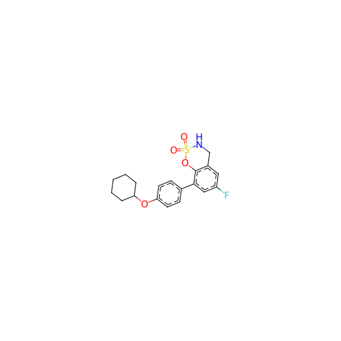 O=S1(=O)NCc2cc(F)cc(-c3ccc(OC4CCCCC4)cc3)c2O1